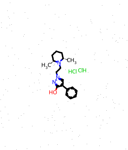 C[C@@H]1CCC[C@H](C)N1CCn1cc(-c2ccccc2)c(O)n1.Cl.Cl